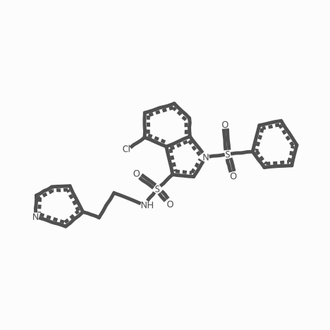 O=S(=O)(NCCc1cccnc1)c1cn(S(=O)(=O)c2ccccc2)c2cccc(Cl)c12